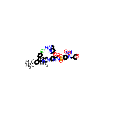 BC(B)(C1=C(c2ccc(Cl)cc2)CC(C)(C)CC1)N1CCN(c2ccc(C(=O)NS(=O)(=O)c3ccc(NCC4CCOCC4)c([N+](=O)[O-])c3)c(Oc3cnc4[nH]ccc4c3)c2)CC1